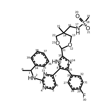 CC(Nc1nccc(-c2[nH]c(C3OCC(C)(CNS(C)(=O)=O)CO3)nc2-c2ccc(F)cc2)n1)c1ccccc1